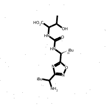 CCC(C)C(N)c1noc(C(NC(=O)NC(C(=O)O)C(C)O)[C@@H](C)CC)n1